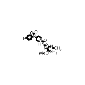 C=C/N=C1/SC(NC(=O)N2CCC(n3c(=O)oc4cc(F)ccc43)CC2)=N/C1=C(/N)OC